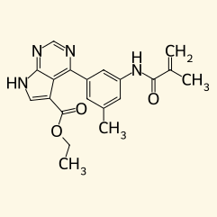 C=C(C)C(=O)Nc1cc(C)cc(-c2ncnc3[nH]cc(C(=O)OCC)c23)c1